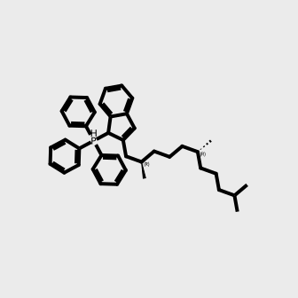 CC(C)CCC[C@@H](C)CCC[C@@H](C)CC1=Cc2ccccc2C1[PH](c1ccccc1)(c1ccccc1)c1ccccc1